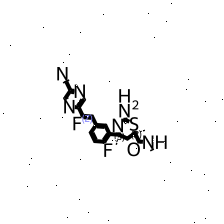 CNC(=O)[C@@]1(C)C[C@@](C)(c2cc(/C=C(\F)c3cnc(C#N)cn3)ccc2F)N=C(N)S1